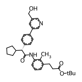 Cc1c(CCC(=O)OC(C)(C)C)cccc1NC(=O)[C@@H](c1ccc(-c2cncc(CO)c2)cc1)C1CCCC1